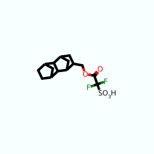 O=C(OCC1CC2CC1C1C3CCC(C3)C21)C(F)(F)S(=O)(=O)O